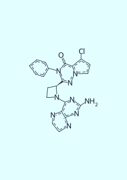 Nc1nc(N2CC[C@H]2c2nn3ccc(Cl)c3c(=O)n2-c2ccccc2)c2nccnc2n1